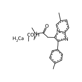 CC(=O)O.Cc1ccc(-c2nc3ccc(C)cn3c2CC(=O)N(C)C)cc1.[CaH2]